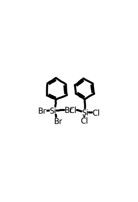 Br[Si](Br)(Br)c1ccccc1.Cl[Si](Cl)(Cl)c1ccccc1